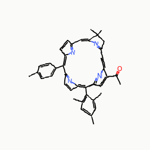 CC(=O)C1=CC2=NC1=CC1=NC(=CC3=NC(=C(c4ccc(C)cc4)C4=NC(=C2c2c(C)cc(C)cc2C)C=C4)C=C3)C(C)(C)C1